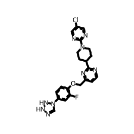 Fc1cc(N2C=NNN2)ccc1OCc1ccnc(C2CCN(c3ncc(Cl)cn3)CC2)n1